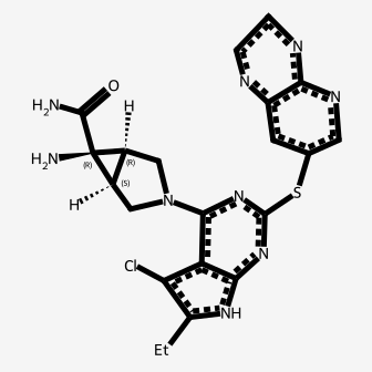 CCc1[nH]c2nc(Sc3cnc4nccnc4c3)nc(N3C[C@@H]4[C@H](C3)[C@@]4(N)C(N)=O)c2c1Cl